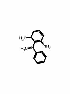 CC1CC=CC(N)=C1N(C)c1ccccc1